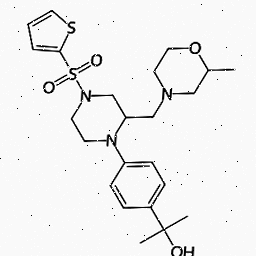 CC1CN(CC2CN(S(=O)(=O)c3cccs3)CCN2c2ccc(C(C)(C)O)cc2)CCO1